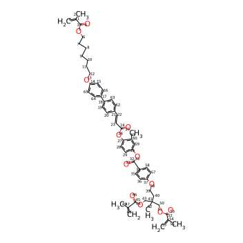 C=C(C)C(=O)OCCCCCCCOc1ccc(-c2ccc(/C=C/C(=O)Oc3ccc(OC(=O)c4ccc(OCCC(C)(COC(=O)C(=C)C)COC(=O)C(=C)C)cc4)cc3C)cc2)cc1